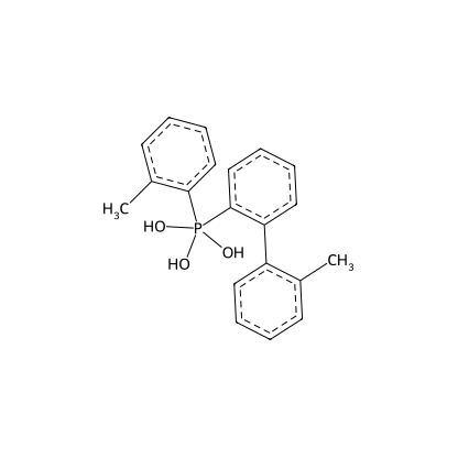 Cc1ccccc1-c1ccccc1P(O)(O)(O)c1ccccc1C